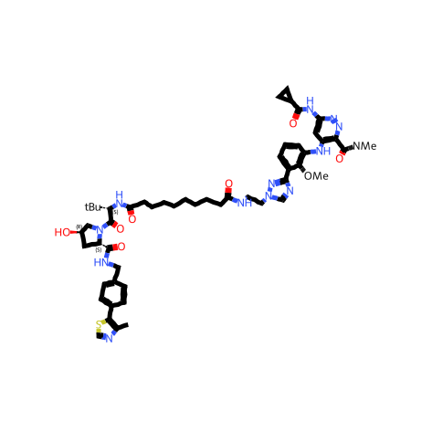 CNC(=O)c1nnc(NC(=O)C2CC2)cc1Nc1cccc(-c2ncn(CCNC(=O)CCCCCCCCC(=O)N[C@H](C(=O)N3C[C@H](O)C[C@H]3C(=O)NCc3ccc(-c4scnc4C)cc3)C(C)(C)C)n2)c1OC